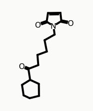 O=C(CCCCCN1C(=O)C=CC1=O)C1CCCCC1